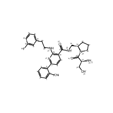 N#Cc1ccccc1-c1ccc(C(=O)NC[C@H]2CCCN2C(=O)[C@@H](N)CO)c(NCCc2cccc(F)c2)n1